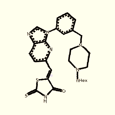 CCCCCCN1CCN(Cc2cccc(-n3cnc4ccc(/C=C5\SC(=S)NC5=O)nc43)c2)CC1